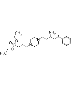 CCOP(=O)(CCCN1CCN(CCC(N)CSc2ccccc2)CC1)OCC